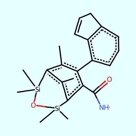 Cc1c(-c2cccc3c2C=CC3)c(C([NH])=O)c2c(C)c1[Si](C)(C)O[Si]2(C)C